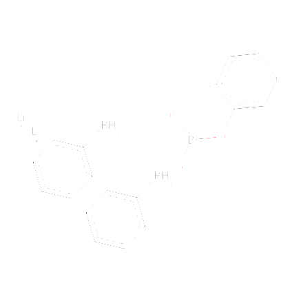 Bc1ccccc1.Bc1ccccc1.[Li+].[Li+].[O-]B([O-])Oc1ccccc1